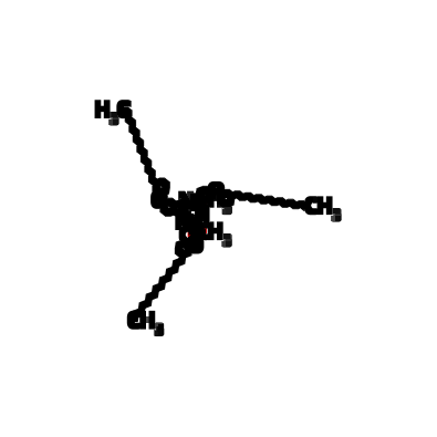 CCCCCCCCCCCCCCCc1cccc(Oc2ccc3c(c2)-c2nc-3nc3c4cc(Oc5cccc(CCCCCCCCCCCCCCC)c5)ccc4c(nc4c5cc(Oc6cccc(CCCCCCCCCCCCCCC)c6)ccc5c(n2)n4C)n3B(C)Cl)c1